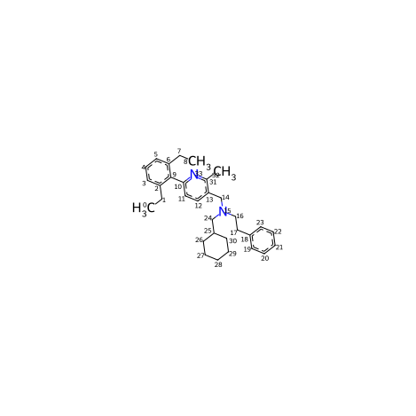 CCc1cccc(CC)c1-c1ccc(CN(CCc2ccccc2)CC2CCCCC2)c(C)n1